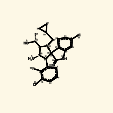 C[C@@H](O)C1[C@@H](N)[C@H](c2cccc(Cl)c2F)[C@]2(C(=O)Nc3cc(Cl)ccc32)N1CC1CC1